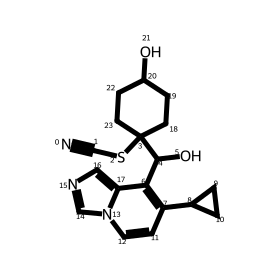 N#CSC1(C(O)c2c(C3CC3)ccn3cncc23)CCC(O)CC1